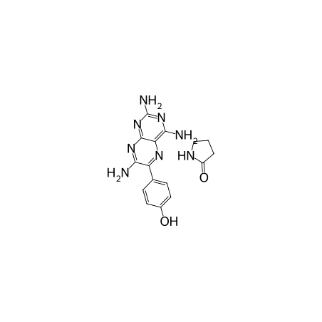 Nc1nc(N)c2nc(-c3ccc(O)cc3)c(N)nc2n1.O=C1CCCN1